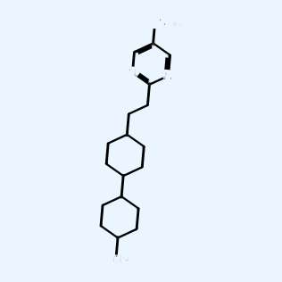 CCCCCCCCCc1cnc(CCC2CCC(C3CCC(CCCC)CC3)CC2)nc1